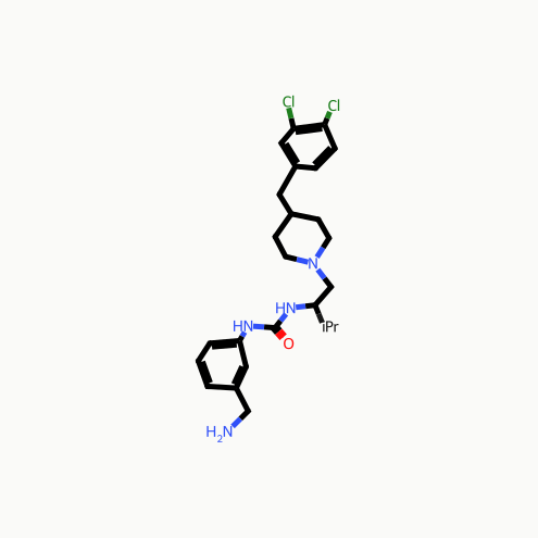 CC(C)C(CN1CCC(Cc2ccc(Cl)c(Cl)c2)CC1)NC(=O)Nc1cccc(CN)c1